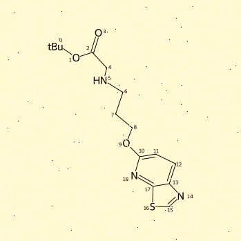 CC(C)(C)OC(=O)CNCCCOc1ccc2n[c]sc2n1